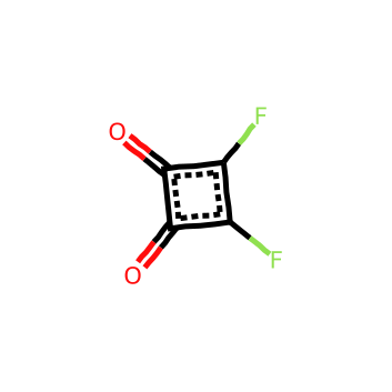 O=c1c(F)c(F)c1=O